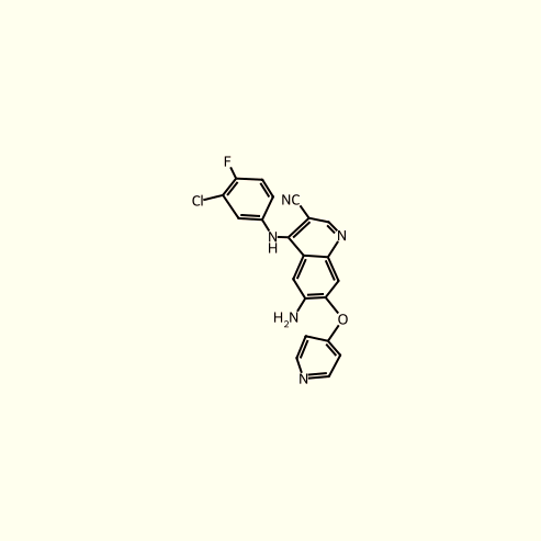 N#Cc1cnc2cc(Oc3ccncc3)c(N)cc2c1Nc1ccc(F)c(Cl)c1